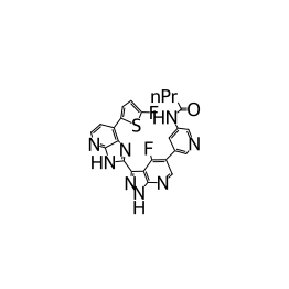 CCCC(=O)Nc1cncc(-c2cnc3[nH]nc(-c4nc5c(-c6ccc(F)s6)ccnc5[nH]4)c3c2F)c1